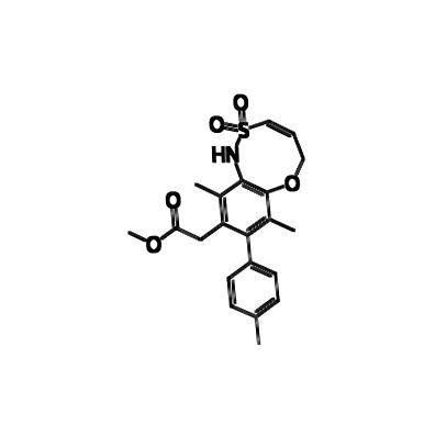 COC(=O)Cc1c(C)c2c(c(C)c1-c1ccc(C)cc1)OC/C=C\S(=O)(=O)N2